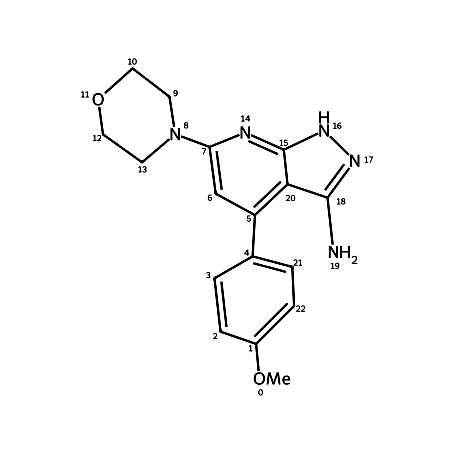 COc1ccc(-c2cc(N3CCOCC3)nc3[nH]nc(N)c23)cc1